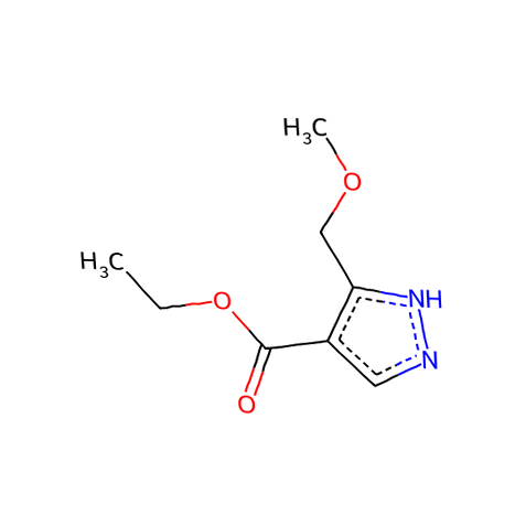 CCOC(=O)c1cn[nH]c1COC